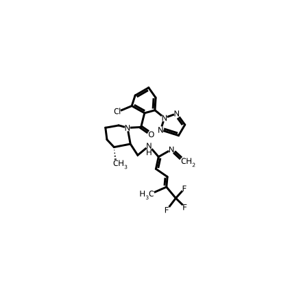 C=N/C(=C\C=C(/C)C(F)(F)F)NCC1[C@H](C)CCCN1C(=O)c1c(Cl)cccc1-n1nccn1